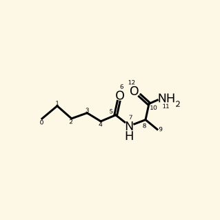 CCCCCC(=O)NC(C)C(N)=O